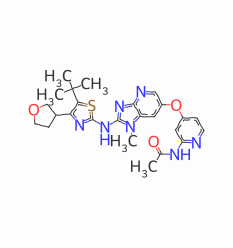 CC(=O)Nc1cc(Oc2cnc3nc(Nc4nc(C5CCOC5)c(C(C)(C)C)s4)n(C)c3c2)ccn1